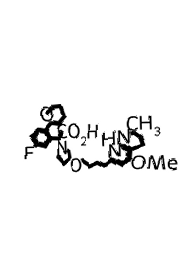 COc1cc(CCCCOC2CCN(C(C(=O)O)c3cc(F)ccc3C3CCCCO3)C2)nc2c1CCC(C)N2